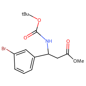 COC(=O)CC(NC(=O)OC(C)(C)C)c1cccc(Br)c1